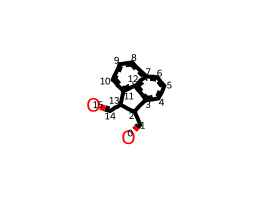 O=CC1c2cccc3cccc(c23)C1C=O